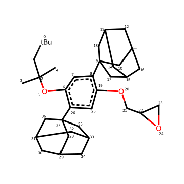 CC(C)(C)CC(C)(C)Oc1cc(C23CC4CC(CC(C4)C2)C3)c(OCC2CO2)cc1C12CC3CC(CC(C3)C1)C2